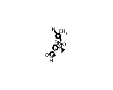 Cc1cc(CNC(=O)N(C2CC2)[C@@H]2CCCN(c3cc(=O)[nH]cn3)C2)c(F)cc1C#N